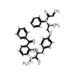 C=CC(=O)N(c1ccccc1)[C@@H](C)COc1ccc(CC(Nc2ccccc2C(=O)c2ccccc2)C(=O)OC)cc1